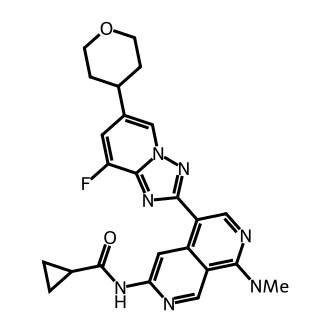 CNc1ncc(-c2nc3c(F)cc(C4CCOCC4)cn3n2)c2cc(NC(=O)C3CC3)ncc12